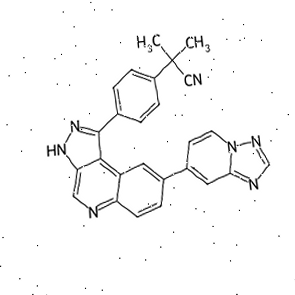 CC(C)(C#N)c1ccc(-c2n[nH]c3cnc4ccc(-c5ccn6ncnc6c5)cc4c23)cc1